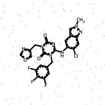 Cn1cc2cc(Nc3nc(=O)n(Cc4cocn4)c(=O)n3Cc3cc(F)c(F)c(F)c3)c(Cl)cc2n1